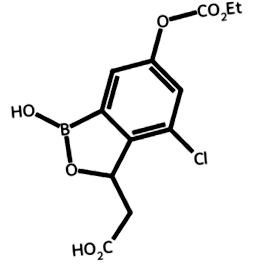 CCOC(=O)Oc1cc(Cl)c2c(c1)B(O)OC2CC(=O)O